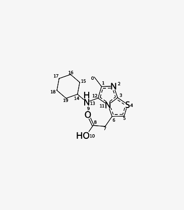 Cc1nc2scc(CC(=O)O)n2c1NC1CCCCC1